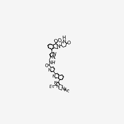 CCc1nc(-c2cccc3cc(-c4ccc(C(=O)NCc5cc(-c6cccc7c6CN(C6CCC(=O)NC6=O)C7=O)nn5C)nc4)ncc23)c2n1CCN(C(C)=O)C2